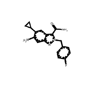 NC(=O)c1c2cc(C3CC3)c(N)cc2nn1Cc1ccc(F)cc1